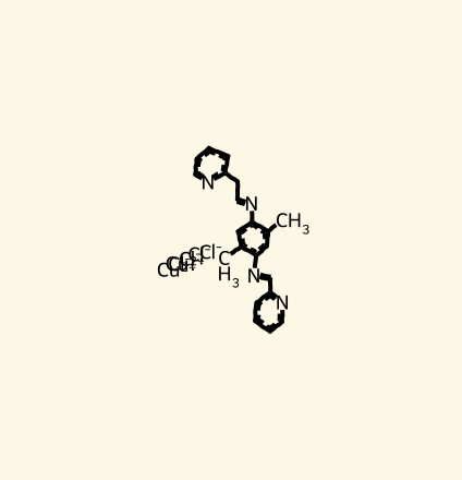 Cc1cc(N=Cc2ccccn2)c(C)cc1N=CCc1ccccn1.[Cl-].[Cl-].[Cl-].[Cl-].[Cu+2].[Cu+2]